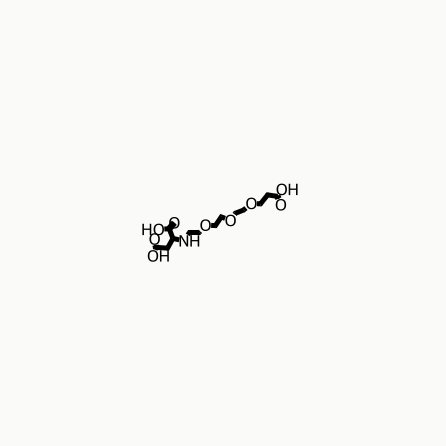 O=C(O)CCOCCOCCOCCNC(CC(=O)O)C(=O)O